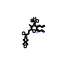 C=C/C=C1/OC(CCC(=O)N2CC3(COC3)C2)[C@@H](C)N([SH](=O)=O)/C1=C/C=C